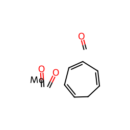 C1=CC=CCC=C1.C=O.C=O.C=O.[Mo]